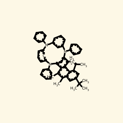 C=C(C)c1cc(C(C)(C)C)cc2c(C)c(C)c3c4cc(c(C)c3c12)N(c1ccccc1)c1cccc(c1)N(c1ccccc1)c1cccc(c1)N4c1ccccc1